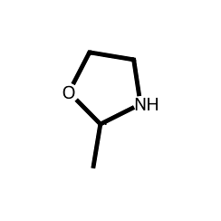 C[C]1NCCO1